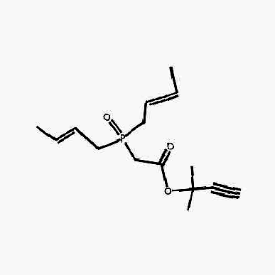 C#CC(C)(C)OC(=O)CP(=O)(CC=CC)CC=CC